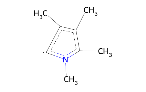 Cc1[c]n(C)c(C)c1C